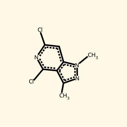 Cc1nn(C)c2cc(Cl)nc(Cl)c12